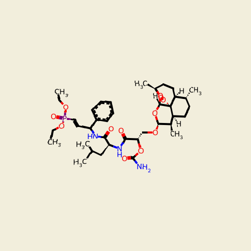 CCOP(=O)(/C=C/C(NC(=O)[C@H](CC(C)C)NC(=O)[C@H](CO[C@H]1O[C@@H]2O[C@@]3(C)CC[C@H]4[C@H](C)CC[C@@H]([C@H]1C)[C@@]24OO3)OC(N)=O)c1ccccc1)OCC